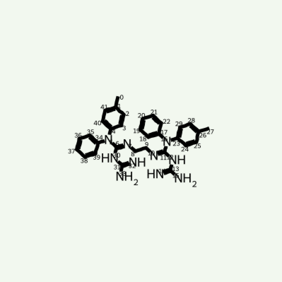 Cc1ccc(N(C(=NCCN=C(NC(=N)N)N(c2ccccc2)c2ccc(C)cc2)NC(=N)N)c2ccccc2)cc1